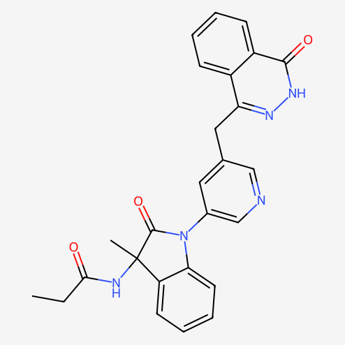 CCC(=O)NC1(C)C(=O)N(c2cncc(Cc3n[nH]c(=O)c4ccccc34)c2)c2ccccc21